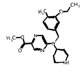 CCOc1cc(CN(c2cnc(C(=O)OC)cn2)C2CCNCC2)ccc1C